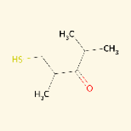 CC(C)C(=O)C(C)CS